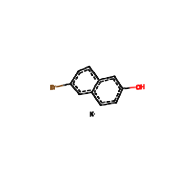 Oc1ccc2cc(Br)ccc2c1.[K]